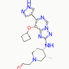 C[C@@H]1CN(CC=O)CC[C@@H]1Nc1nc2c(OC3CCC3)c(-c3cn[nH]c3)ncn2n1